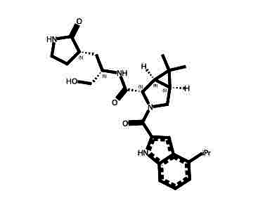 CC(C)c1cccc2[nH]c(C(=O)N3C[C@H]4[C@@H]([C@H]3C(=O)N[C@H](CO)C[C@@H]3CCNC3=O)C4(C)C)cc12